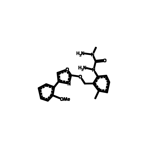 COc1ccccc1-c1coc(OCc2c(C)cccc2N(N)C(=O)N(C)N)n1